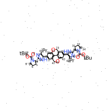 CC(C)c1nc([C@@H]2CC[C@H](C)N2C(=O)OC(C)(C)C)[nH]c1-c1cc2c3c(c1)OCc1cc(-c4[nH]c([C@@H]5CC[C@H](C)N5C(=O)OC(C)(C)C)nc4C(C)C)cc(c1-3)OC2